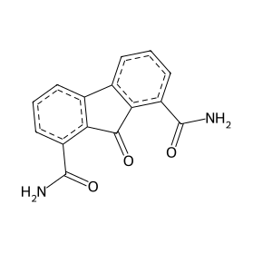 NC(=O)c1cccc2c1C(=O)c1c(C(N)=O)cccc1-2